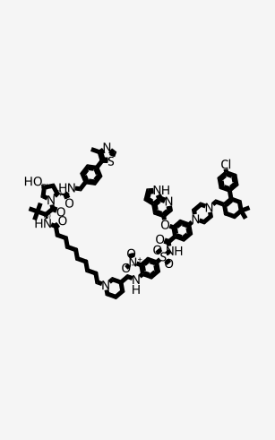 Cc1ncsc1-c1ccc(CNC(=O)[C@@H]2C[C@@H](O)CN2C(=O)[C@@H](NC(=O)CCCCCCCCCN2CCCC(CNc3ccc(S(=O)(=O)NC(=O)c4ccc(N5CCN(CC6=C(c7ccc(Cl)cc7)CC(C)(C)CC6)CC5)cc4Oc4cnc5[nH]ccc5c4)cc3[N+](=O)[O-])C2)C(C)(C)C)cc1